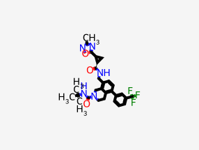 Cc1noc(C2C[C@@H]2C(=O)NCc2ccc(-c3cccc(C(F)(F)F)c3)c3c2CN(C(=O)NC(C)(C)C)CC3)n1